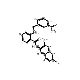 NC(=O)c1cc(CNc2ccccc2C(=O)Nc2nc3ccc(F)cc3cc2F)ccn1